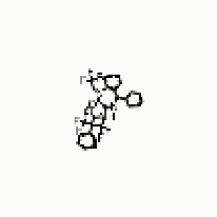 O=C1[C@H](NC(=O)C(c2ccccc2)(C(F)(F)F)C(F)(F)F)N=C(c2ccccc2)c2ccccc2N1CC(F)(F)F